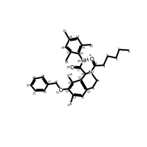 CCCCCC(=O)N1CCc2cc(I)c(OCc3ccccc3)c(I)c2C1C(=O)Nc1c(C)cc(C)cc1C